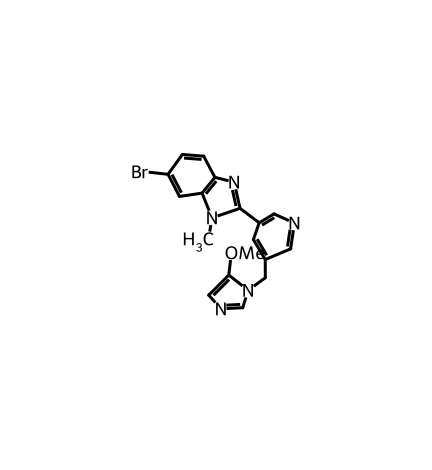 COc1cncn1Cc1cncc(-c2nc3ccc(Br)cc3n2C)c1